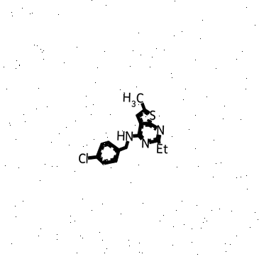 CCc1nc(NCc2ccc(Cl)cc2)c2cc(C)sc2n1